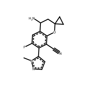 Cn1nccc1-c1c(F)cc2c(c1C#N)OC1(CC1)CC2N